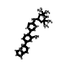 CC1(C)CC(Nc2cnc(-c3ccc(-c4ccc5nccn5n4)cc3O)cn2)CC(C)(C)N1